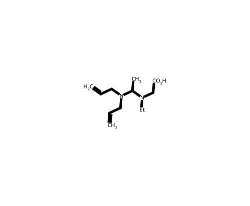 C=CCN(CC=C)C(C)N(CC)CC(=O)O